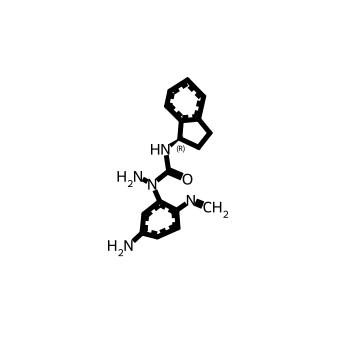 C=Nc1ccc(N)cc1N(N)C(=O)N[C@@H]1CCc2ccccc21